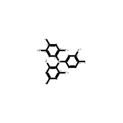 Cc1cc(F)c(N(c2ccc(C)c(F)c2)c2cc(F)c(C)cc2F)c(F)c1